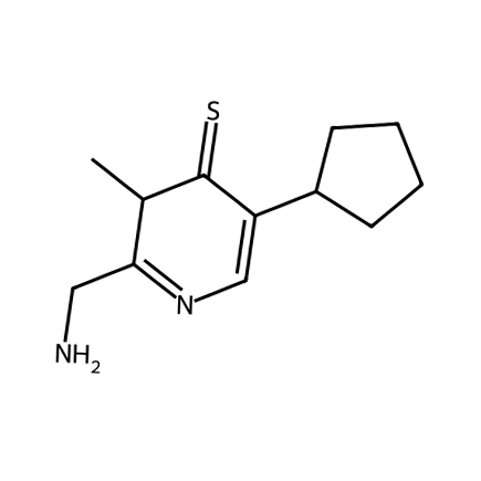 CC1C(=S)C(C2CCCC2)=CN=C1CN